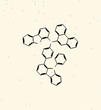 c1ccc(-n2c3ccccc3c3cccc(-c4ccc(N(c5cc6ccccc6c6ccccc56)c5cccc6c5sc5ccccc56)cc4)c32)cc1